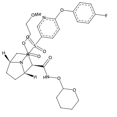 COCCOC(=O)N1[C@@H]2CC[C@H]1[C@H](C(=O)NOC1CCCCO1)N(S(=O)(=O)c1ccc(Oc3ccc(F)cc3)nc1)C2